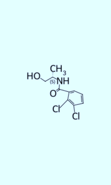 C[C@@H](CO)NC(=O)c1cccc(Cl)c1Cl